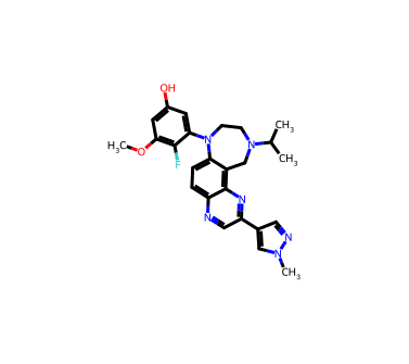 COc1cc(O)cc(N2CCN(C(C)C)Cc3c2ccc2ncc(-c4cnn(C)c4)nc32)c1F